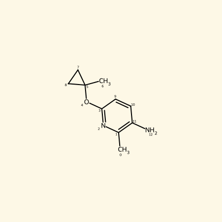 Cc1nc(OC2(C)CC2)ccc1N